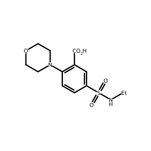 CCNS(=O)(=O)c1ccc(N2CCOCC2)c(C(=O)O)c1